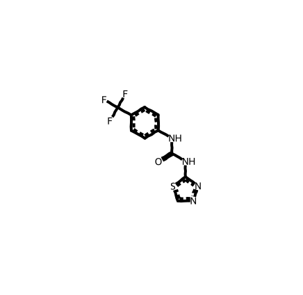 O=C(Nc1ccc(C(F)(F)F)cc1)Nc1nncs1